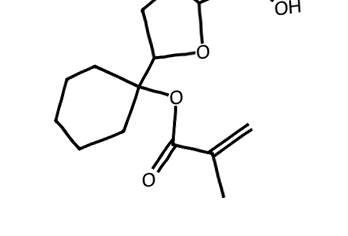 C=C(C)C(=O)OC1(C2CCC(CO)O2)CCCCC1